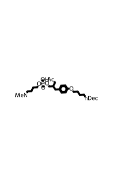 CCCCCCCCCCCCCCOc1ccc(CC(COP(=O)(O)OCCCCNC)CC(C)=O)cc1